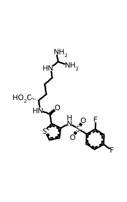 NC(N)NCCC[C@H](NC(=O)c1sccc1NS(=O)(=O)c1ccc(F)cc1F)C(=O)O